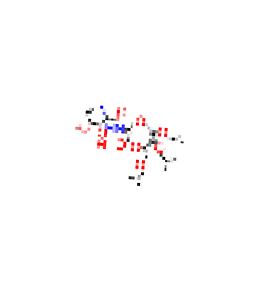 COc1ccnc(C(=O)N[C@@H]2COC[C@H](OCC(C)C)[C@@H](OCC(C)C)[C@@H](COCC(C)C)OC2=O)c1O